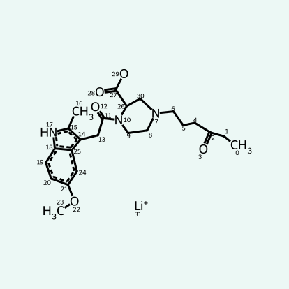 CCC(=O)CCCN1CCN(C(=O)Cc2c(C)[nH]c3ccc(OC)cc23)C(C(=O)[O-])C1.[Li+]